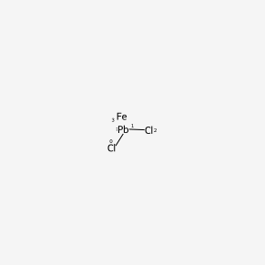 [Cl][Pb][Cl].[Fe]